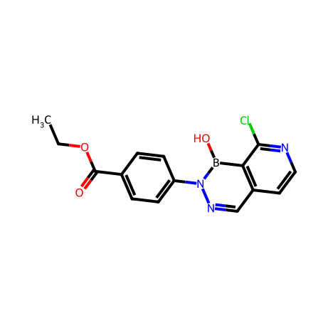 CCOC(=O)c1ccc(N2N=Cc3ccnc(Cl)c3B2O)cc1